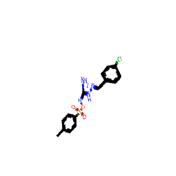 Cc1ccc(S(=O)(=O)ON=C(N)NN=Cc2ccc(Cl)cc2)cc1